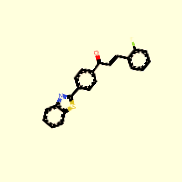 O=C(C=Cc1ccccc1F)c1ccc(-c2nc3ccccc3s2)cc1